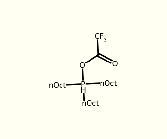 CCCCCCCC[PH](CCCCCCCC)(CCCCCCCC)OC(=O)C(F)(F)F